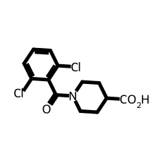 O=C(O)C1CCN(C(=O)c2c(Cl)cccc2Cl)CC1